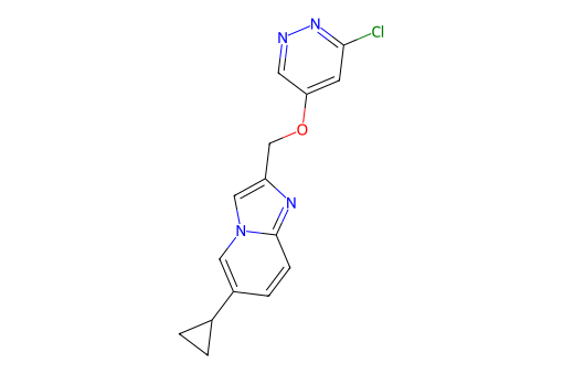 Clc1cc(OCc2cn3cc(C4CC4)ccc3n2)cnn1